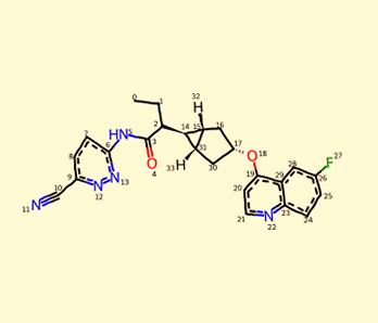 CCC(C(=O)Nc1ccc(C#N)nn1)[C@H]1[C@@H]2C[C@H](Oc3ccnc4ccc(F)cc34)C[C@@H]21